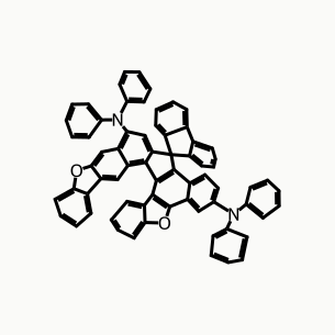 c1ccc(N(c2ccccc2)c2ccc3c4c(c5c6ccccc6oc5c3c2)-c2c(cc(N(c3ccccc3)c3ccccc3)c3cc5oc6ccccc6c5cc23)C42c3ccccc3-c3ccccc32)cc1